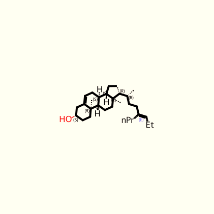 CC/C=C(\CCC)CC[C@@H](C)[C@H]1CC[C@H]2[C@@H]3CC=C4C[C@@H](O)CC[C@]4(C)[C@H]3CC[C@]12C